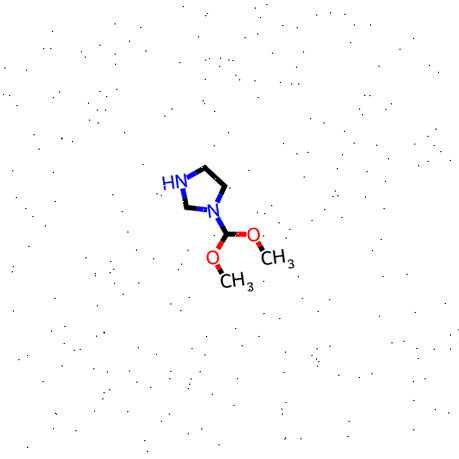 COC(OC)N1CCNC1